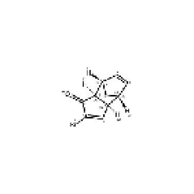 O=C1C(Br)=C[C@H]2[C@@H]1[C@@H]1C=C[C@H]2C1